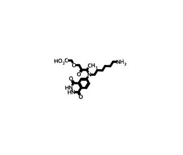 CC(C(=O)COCC(=O)O)N(CCCCCCN)c1ccc2c(=O)[nH][nH]c(=O)c2c1